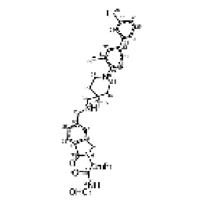 CCCC(C(=O)NC=O)N1Cc2cc(CNCC3(F)CCN(c4ncc(-c5cccc(Cl)c5)cc4F)CC3)ccc2C1=O